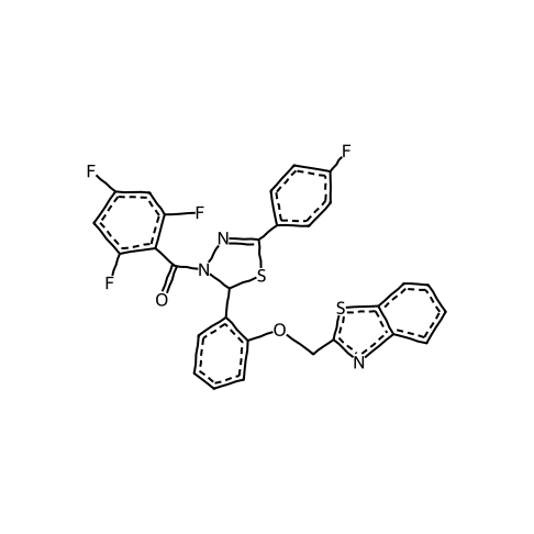 O=C(c1c(F)cc(F)cc1F)N1N=C(c2ccc(F)cc2)SC1c1ccccc1OCc1nc2ccccc2s1